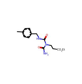 CCOC(=O)CCN(C(N)=O)C(=O)NCc1ccc(C)cc1